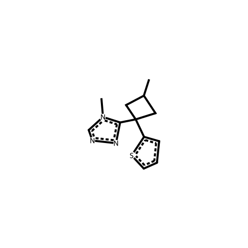 CC1CC(c2cccs2)(c2nncn2C)C1